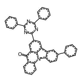 O=c1c2ccccc2n2c3ccc(-c4ccccc4)cc3c3cc(-c4nc(-c5ccccc5)nc(-c5ccccc5)n4)cc1c32